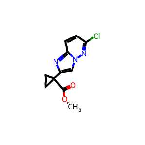 COC(=O)C1(c2cn3nc(Cl)ccc3n2)CC1